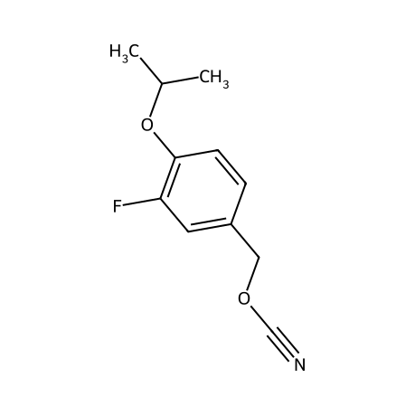 CC(C)Oc1ccc(COC#N)cc1F